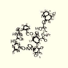 CC(C)OC(=O)c1cc(-n2c(=O)cc(C(F)(F)F)n(C)c2=O)ccc1Cl.COc1nc(C)nc(NC(=O)NS(=O)(=O)c2ccsc2C(=O)O)n1.O=C(O)COc1ccc(Cl)c2cccnc12